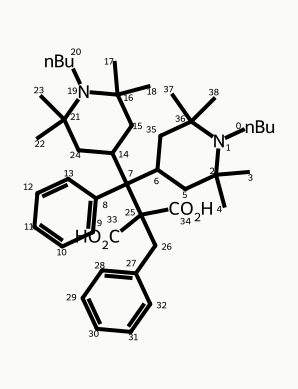 CCCCN1C(C)(C)CC(C(c2ccccc2)(C2CC(C)(C)N(CCCC)C(C)(C)C2)C(Cc2ccccc2)(C(=O)O)C(=O)O)CC1(C)C